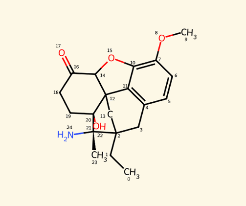 CCC12Cc3ccc(OC)c4c3C3(C1)C(O4)C(=O)CCC3(O)[C@@]2(C)N